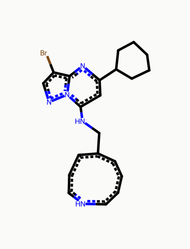 Brc1cnn2c(NCc3cccc[nH]ccc3)cc(C3CCCCC3)nc12